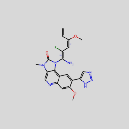 C=C/C(=C\C(F)=C(/N)n1c(=O)n(C)c2cnc3cc(OC)c(-c4cnn[nH]4)cc3c21)OC